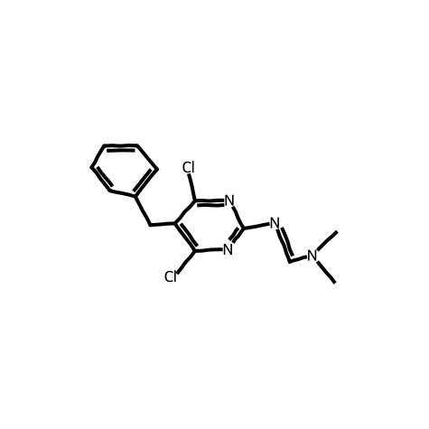 CN(C)C=Nc1nc(Cl)c(Cc2ccccc2)c(Cl)n1